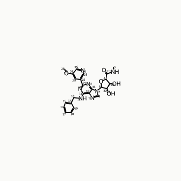 CNC(=O)[C@@H]1OC(n2cnc3c(NCc4ccccc4)nc(-c4cncc(OC)c4)nc32)C(O)C1O